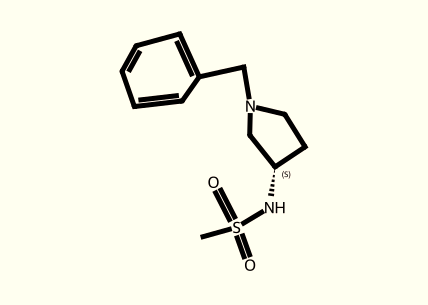 CS(=O)(=O)N[C@H]1CCN(Cc2ccccc2)C1